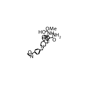 COC(O)Nc1nn(C2(CC#N)CCN(Cc3ccc(-c4ncco4)cc3)CC2F)cc1C(N)=O